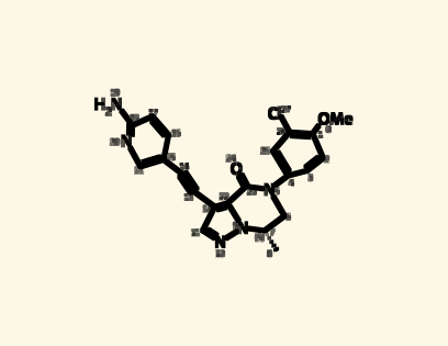 COc1ccc(N2C[C@H](C)n3ncc(C#Cc4ccc(N)nc4)c3C2=O)cc1Cl